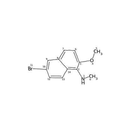 CNc1c(OC)ccc2cc(Br)ccc12